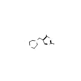 C[C@@H]1CN(Cc2cnc(Cl)nc2Cl)CCO1